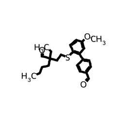 CCCCC(C=O)(CC)CCSc1ccc(OC)cc1-c1ccc(C=O)cc1